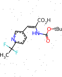 CC(C)(C)OC(=O)NC(=Cc1ccc(C(C)(F)F)nc1)C(=O)O